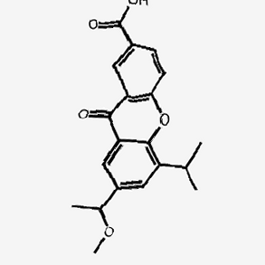 COC(C)c1cc(C(C)C)c2oc3ccc(C(=O)O)cc3c(=O)c2c1